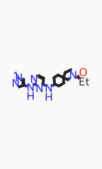 CCC(=O)N1CCC2(CCC(Nc3ccnc(Nc4cnn(C)c4)n3)CC2)C1